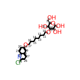 OC[C@H]1OC(O)[C@H](O)[C@@H](OCCCCCCCCOc2ccc3nc(Cl)ccc3c2)[C@@H]1O